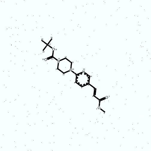 COC(=O)C=Cc1ccc(N2CCN(C(=O)OC(C)(C)C)CC2)nc1